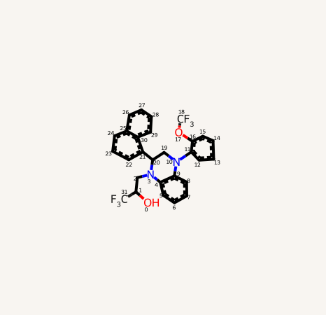 OC(CN1c2ccccc2N(c2ccccc2OC(F)(F)F)CC1c1cccc2ccccc12)C(F)(F)F